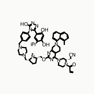 C=CC(=O)N1CCN(c2nc(OC[C@@H]3CC[C@H](CN4CCN(Cc5ccc(-n6c(O)nnc6-c6cc(C(C)C)c(O)cc6O)cc5)CC4)N3C)nc3c2CCN(c2cccc4cccc(C)c24)C3)C[C@@H]1CC#N